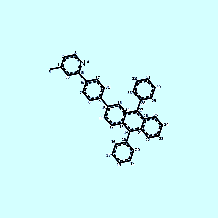 Cc1ccnc(-c2ccc(-c3ccc4c(-c5ccccc5)c5ccccc5c(-c5ccccc5)c4c3)cc2)c1